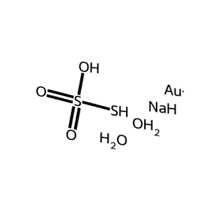 O.O.O=S(=O)(O)S.[Au].[NaH]